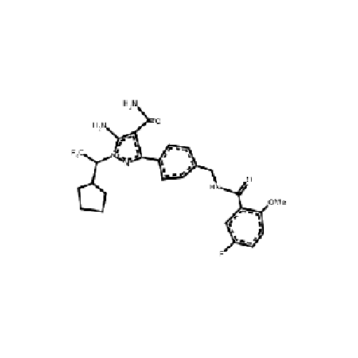 COc1ccc(F)cc1C(=O)NCc1ccc(-c2nn(C(C3CCCC3)C(F)(F)F)c(N)c2C(N)=O)cc1